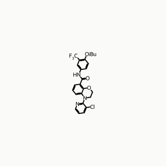 CC(C)COc1ccc(NC(=O)c2cccc3c2OCCN3c2ncccc2Cl)cc1C(F)(F)F